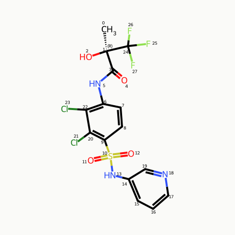 C[C@@](O)(C(=O)Nc1ccc(S(=O)(=O)Nc2cccnc2)c(Cl)c1Cl)C(F)(F)F